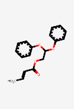 O=C(O)C=CC(=O)OCC(Oc1ccccc1)Oc1ccccc1